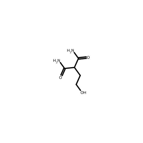 NC(=O)C(CCO)C(N)=O